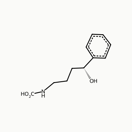 O=C(O)NCCC[C@@H](O)c1ccccc1